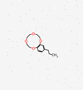 CCCc1ccc2c(c1)OCCOCCOCCO2